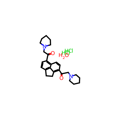 Cl.Cl.O.O=C(CN1CCCCC1)c1ccc2c(C(=O)CN3CCCCC3)ccc3c2c1CC3